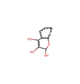 OC1=C(O)C(O)Oc2ccccc21